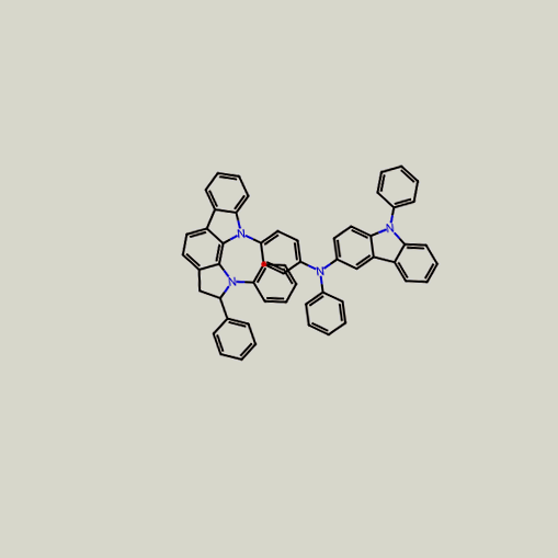 c1ccc(C2Cc3ccc4c5ccccc5n(-c5ccc(N(c6ccccc6)c6ccc7c(c6)c6ccccc6n7-c6ccccc6)cc5)c4c3N2c2ccccc2)cc1